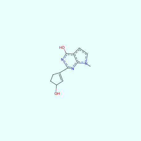 Cn1ccc2c(O)nc(C3=CC(O)CC3)nc21